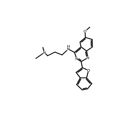 COc1ccc2nc(-c3cc4ccccc4o3)nc(NCCCN(C)C)c2c1